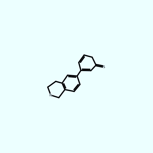 S=C1C=C(c2ccc3c(c2)CC[N]C3)C=CC1